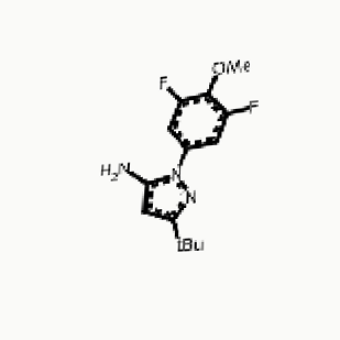 COc1c(F)cc(-n2nc(C(C)(C)C)cc2N)cc1F